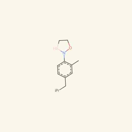 Cc1cc(CC(C)C)ccc1N1BCCO1